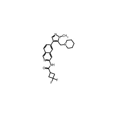 Cn1ncc(-c2ccc3cnc(NC(=O)C4CC(F)(F)C4)cc3c2)c1CN1CCCCC1